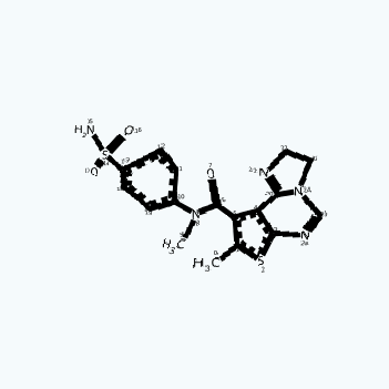 Cc1sc2c(c1C(=O)N(C)c1ccc(S(N)(=O)=O)cc1)C1=NCCN1C=N2